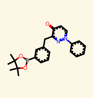 CC1(C)OB(c2cccc(Cc3nn(-c4ccccc4)ccc3=O)c2)OC1(C)C